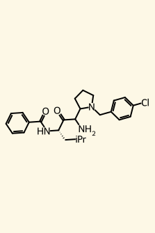 CC(C)C[C@H](NC(=O)c1ccccc1)C(=O)C(N)C1CCCN1Cc1ccc(Cl)cc1